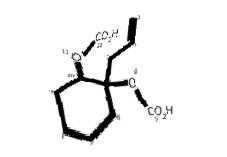 C=CCC1(OC(=O)O)CCCCC1OC(=O)O